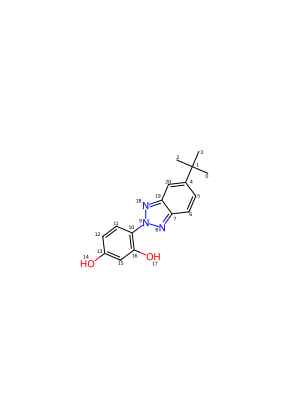 CC(C)(C)c1ccc2nn(-c3ccc(O)cc3O)nc2c1